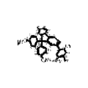 CCCc1cc(-c2ccc3c(c2)C(c2ccc(OC)cc2)(c2ccc(OC)cc2)c2cc(C)ccc2-3)c(CCC)cc1C